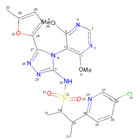 COc1ncnc(OC)c1-n1c(NS(=O)(=O)C(C)C(C)c2ccc(Cl)cn2)nnc1-c1ccc(C)o1